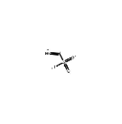 N=CS(=O)(=O)F